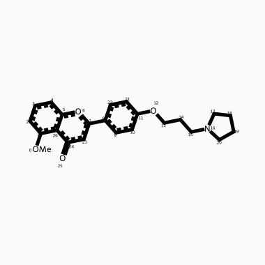 COc1cccc2oc(-c3ccc(OCCCN4CCCC4)cc3)cc(=O)c12